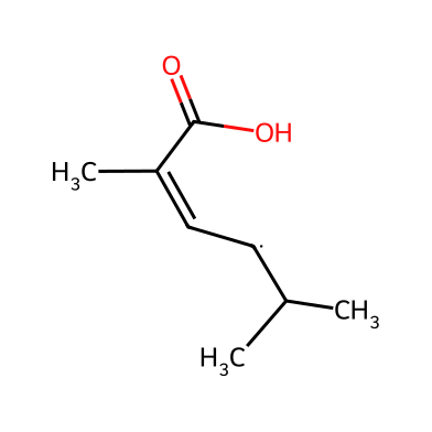 CC(=C[CH]C(C)C)C(=O)O